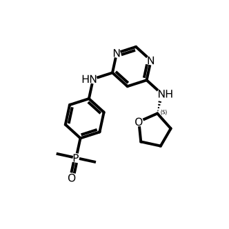 CP(C)(=O)c1ccc(Nc2cc(N[C@@H]3CCCO3)ncn2)cc1